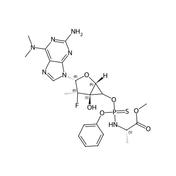 COC(=O)[C@H](C)NP(=S)(Oc1ccccc1)OC1[C@H]2O[C@@H](n3cnc4c(N(C)C)nc(N)nc43)[C@](C)(F)[C@@]12O